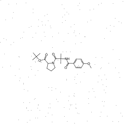 COc1ccc(C(=O)NC(C)(C)C(=O)N2CCCC2C(=O)OC(C)(C)C)cc1